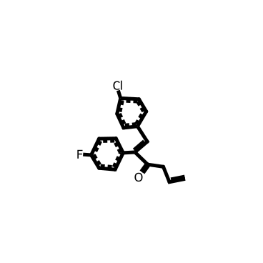 C=CCC(=O)/C(=C/c1ccc(Cl)cc1)c1ccc(F)cc1